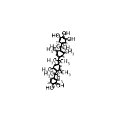 Cc1cc(C(C)(C)c2cc(C)c(C(C)(C)c3cc(O)c(O)c(O)c3)c(C)c2)cc(C)c1C(C)(C)c1ccc(O)c(O)c1